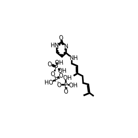 CC(C)=CCC/C(C)=C/CNc1cc[nH]c(=O)n1.O=P(O)(O)OP(=O)(O)OP(=O)(O)O